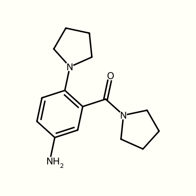 Nc1ccc(N2CCCC2)c(C(=O)N2CCCC2)c1